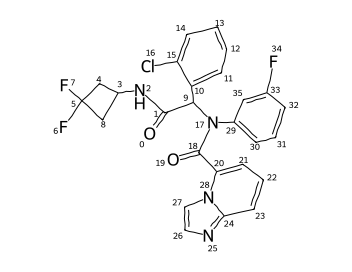 O=C(NC1CC(F)(F)C1)C(c1ccccc1Cl)N(C(=O)c1cccc2nccn12)c1cccc(F)c1